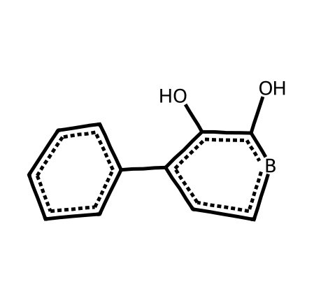 Oc1bccc(-c2ccccc2)c1O